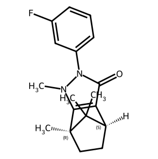 Cn1c2c(c(=O)n1-c1cccc(F)c1)[C@H]1CC[C@]2(C)C1(C)C